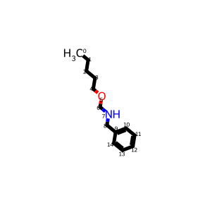 CCCCCOCNCc1ccccc1